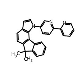 CC1(C)c2ccccc2-c2c1ccc1ccn(-c3ccc(-c4ccccn4)nc3)c21